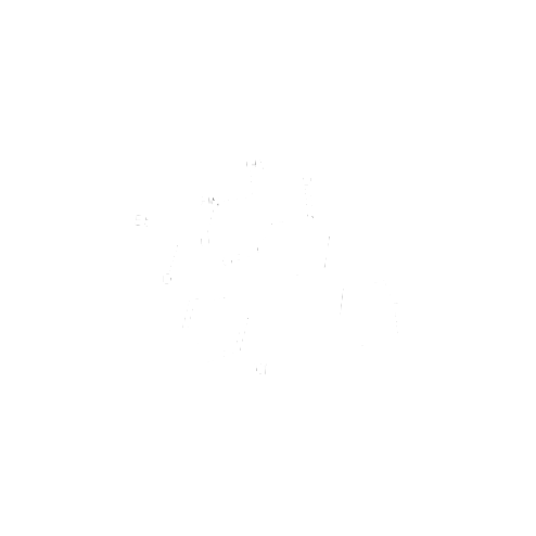 CCCC(NOC(CC)Oc1ccc(Cl)cc1)C1C(=O)CC(C2CCCSC2)CC1=O